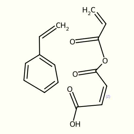 C=CC(=O)OC(=O)/C=C\C(=O)O.C=Cc1ccccc1